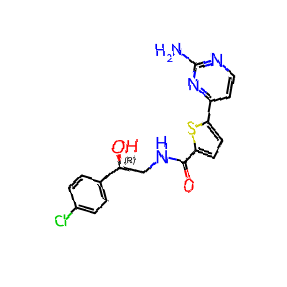 Nc1nccc(-c2ccc(C(=O)NC[C@H](O)c3ccc(Cl)cc3)s2)n1